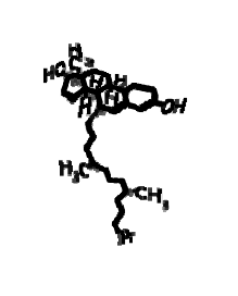 CC(C)CCC[C@@H](C)CCC[C@@H](C)CCC[C@@H]1C=C2C=C(O)C=C[C@@H]2[C@H]2CC[C@]3(C)[C@@H](O)CC[C@H]3[C@@H]21